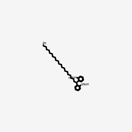 CCCCCCCCCc1ccccc1C(CC[CH]CCCCCCCCCCCCCCCCCCC(C)C)c1ccccc1CCCCCCCCC